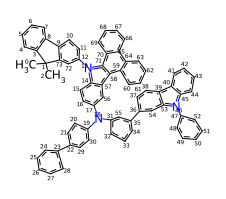 CC1(C)c2ccccc2-c2ccc(-n3c4ccc(N(c5ccc(-c6ccccc6)cc5)c5cccc(-c6ccc7c8ccccc8n(-c8ccccc8)c7c6)c5)cc4c4c5ccccc5c5ccccc5c43)cc21